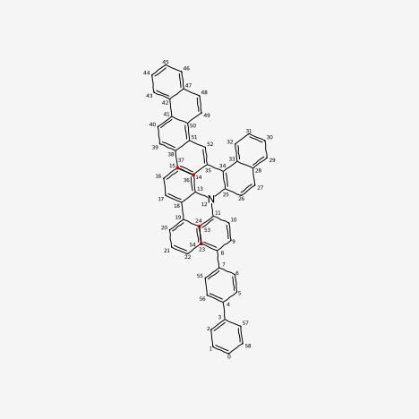 c1ccc(-c2ccc(-c3ccc(N(c4ccccc4-c4ccccc4)c4ccc5ccccc5c4-c4ccc5ccc6c7ccccc7ccc6c5c4)cc3)cc2)cc1